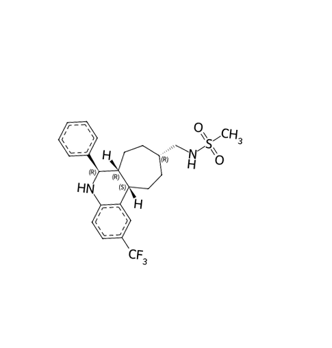 CS(=O)(=O)NC[C@H]1CC[C@@H]2[C@H](CC1)c1cc(C(F)(F)F)ccc1N[C@H]2c1ccccc1